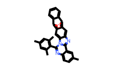 Cc1cc(C)c(-c2nc3ccc(C)cc3c3nc4cc5c(cc4n23)c2oc5c3ccccc32)c(C)c1